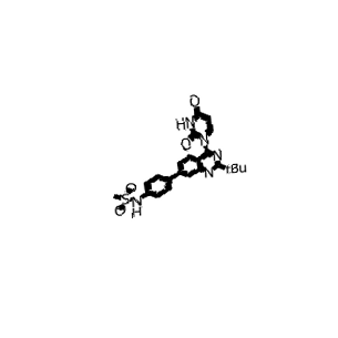 CC(C)(C)c1nc(-n2ccc(=O)[nH]c2=O)c2ccc(-c3ccc(NS(C)(=O)=O)cc3)cc2n1